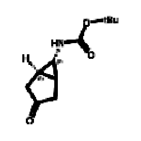 CC(C)(C)OC(=O)N[C@@H]1C2CC(=O)C[C@H]21